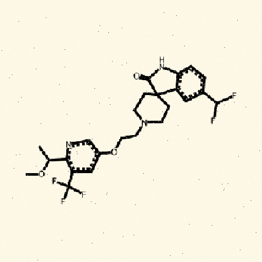 COC(C)c1ncc(OCCN2CCC3(CC2)C(=O)Nc2ccc(C(F)F)cc23)cc1C(F)(F)F